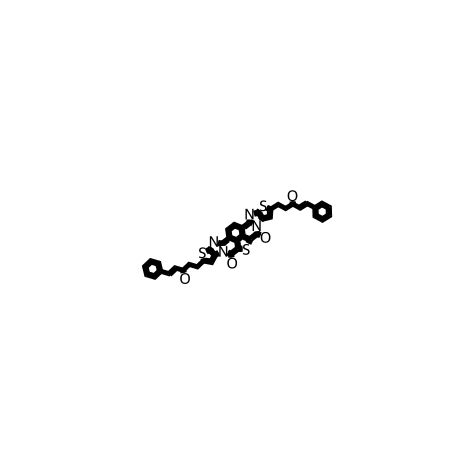 O=C(/C=C/c1ccccc1)CCc1cc2c(nc3c4ccc5c6c(sc(c(=O)n23)c46)c(=O)n2c3cc(CCC(=O)/C=C/c4ccccc4)sc3nc52)s1